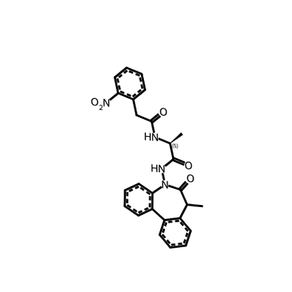 CC1C(=O)N(NC(=O)[C@H](C)NC(=O)Cc2ccccc2[N+](=O)[O-])c2ccccc2-c2ccccc21